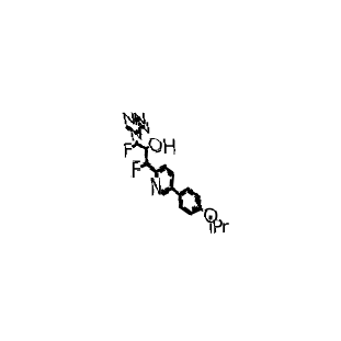 CC(C)Oc1ccc(-c2ccc(C(F)C(O)C(F)n3cnnn3)nc2)cc1